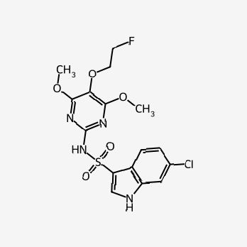 COc1nc(NS(=O)(=O)c2c[nH]c3cc(Cl)ccc23)nc(OC)c1OCCF